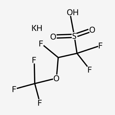 O=S(=O)(O)C(F)(F)C(F)OC(F)(F)F.[KH]